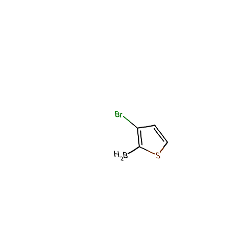 Bc1sccc1Br